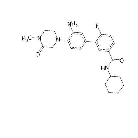 CN1CCN(c2ccc(-c3cc(C(=O)NC4CCCCC4)ccc3F)cc2N)CC1=O